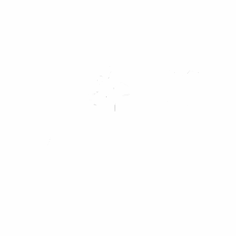 CCCCCCCCC=CC1(C=CCCCCCCCC)C(=O)OC(=O)C1(C=CCCCCCCCC)C=CCCCCCCCC